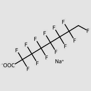 O=C([O-])C(F)(F)C(F)(F)C(F)(F)C(F)(F)C(F)(F)C(F)(F)CF.[Na+]